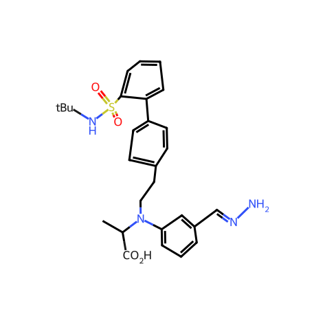 CC(C(=O)O)N(CCc1ccc(-c2ccccc2S(=O)(=O)NC(C)(C)C)cc1)c1cccc(C=NN)c1